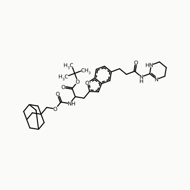 CC(C)(C)OC(=O)C(Cc1cc2cc(CCC(=O)NC3=NCCCN3)ccc2o1)NC(=O)OCC12CC3CC(CC(C3)C1)C2